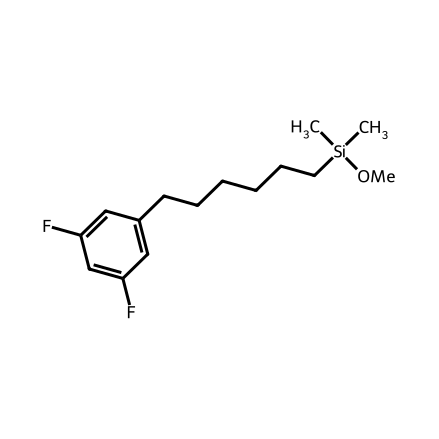 CO[Si](C)(C)CCCCCCc1cc(F)cc(F)c1